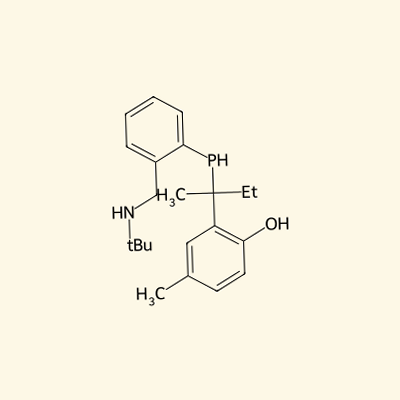 CCC(C)(Pc1ccccc1CNC(C)(C)C)c1cc(C)ccc1O